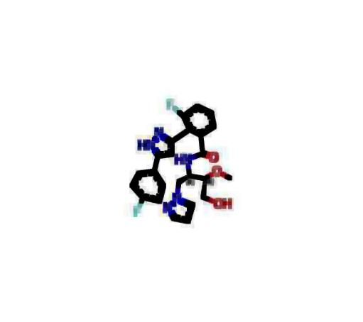 CO[C@@H](CO)[C@@H](Cn1cccn1)NC(=O)c1cccc(F)c1-c1cc(-c2ccc(F)cc2)[nH]n1